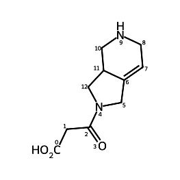 O=C(O)CC(=O)N1CC2=CCNCC2C1